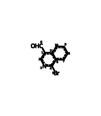 O=Cc1cnc(Br)c2ccccc12